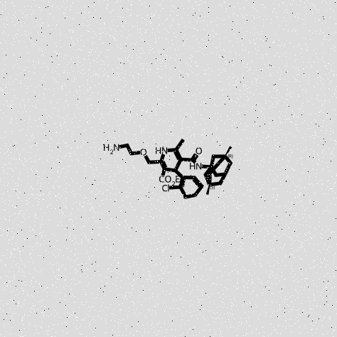 CCOC(=O)C1=C(COCCN)NC(C)=C(C(=O)NC23CC4C[C@@](C)(C2)C[C@](C)(C4)C3)C1C1=C(Cl)CCC=C1